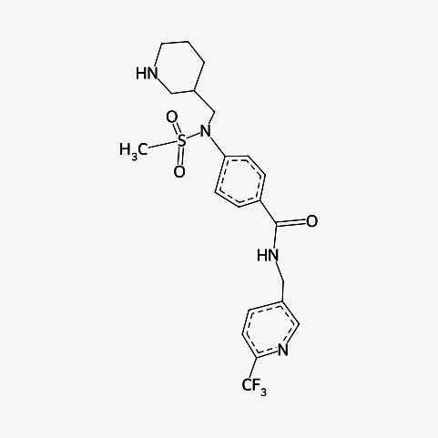 CS(=O)(=O)N(CC1CCCNC1)c1ccc(C(=O)NCc2ccc(C(F)(F)F)nc2)cc1